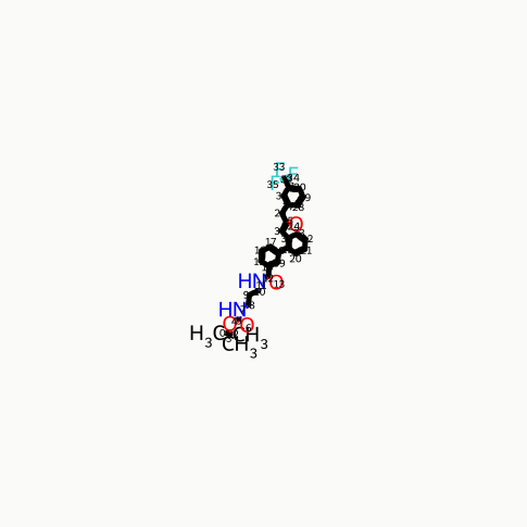 CC(C)(C)OC(=O)NCCCNC(=O)c1cccc(-c2cccc3oc(Cc4cccc(C(F)(F)F)c4)cc23)c1